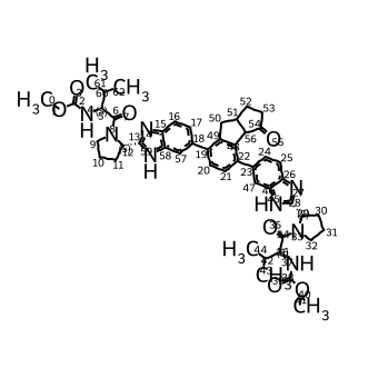 COC(=O)N[C@H](C(=O)N1CCC[C@H]1c1nc2ccc(-c3ccc(-c4ccc5nc([C@@H]6CCCN6C(=O)[C@@H](NC(=O)OC)C(C)C)[nH]c5c4)c4c3CC3CCC(=O)C43)cc2[nH]1)C(C)C